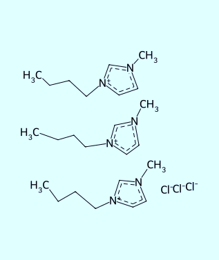 CCCC[n+]1ccn(C)c1.CCCC[n+]1ccn(C)c1.CCCC[n+]1ccn(C)c1.[Cl-].[Cl-].[Cl-]